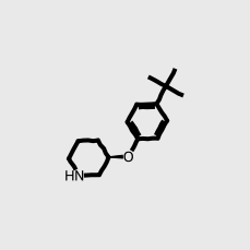 CC(C)(C)c1ccc(O[C@@H]2CCCNC2)cc1